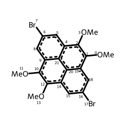 COc1c(OC)c2cc(Br)cc3c(OC)c(OC)c4cc(Br)cc1c4c23